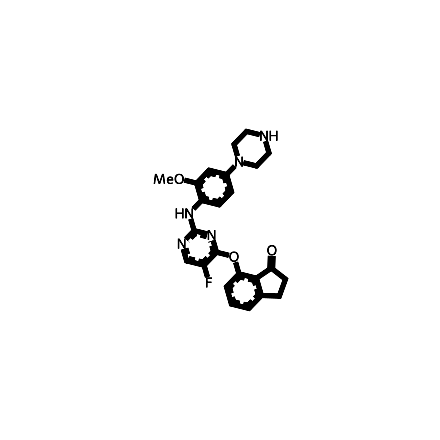 COc1cc(N2CCNCC2)ccc1Nc1ncc(F)c(Oc2cccc3c2C(=O)CC3)n1